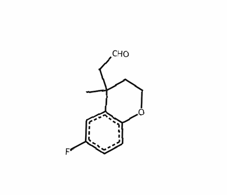 CC1(CC=O)CCOc2ccc(F)cc21